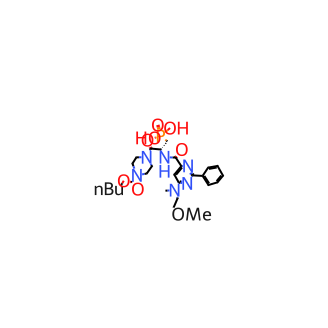 CCCCOC(=O)N1CCN(C(=O)[C@H](CP(=O)(O)O)NC(=O)c2cc(N(C)CCOC)nc(-c3ccccc3)n2)CC1